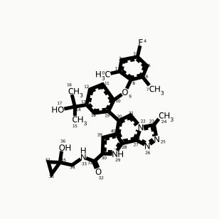 Cc1cc(F)cc(C)c1Oc1ccc(C(C)(C)O)cc1-c1cn2c(C)nnc2c2[nH]c(C(=O)NCC3(O)CC3)cc12